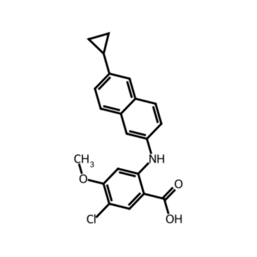 COc1cc(Nc2ccc3cc(C4CC4)ccc3c2)c(C(=O)O)cc1Cl